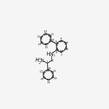 NC(CNc1ccccc1-c1ccccc1)c1ccccc1